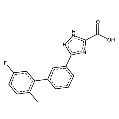 Cc1ccc(F)cc1-c1cccc(-c2n[nH]c(C(=O)O)n2)c1